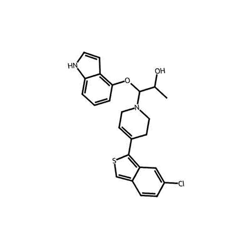 CC(O)C(Oc1cccc2[nH]ccc12)N1CC=C(c2scc3ccc(Cl)cc23)CC1